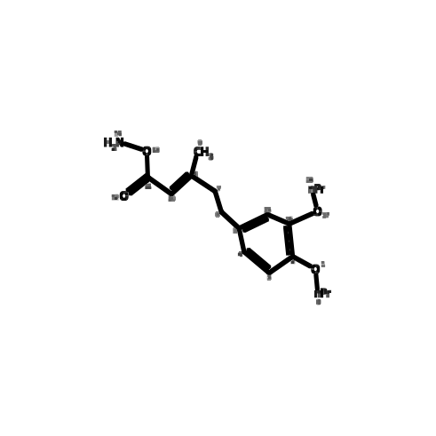 CCCOc1ccc(CCC(C)=CC(=O)ON)cc1OCCC